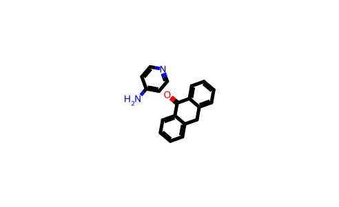 Nc1ccncc1.O=C1c2ccccc2Cc2ccccc21